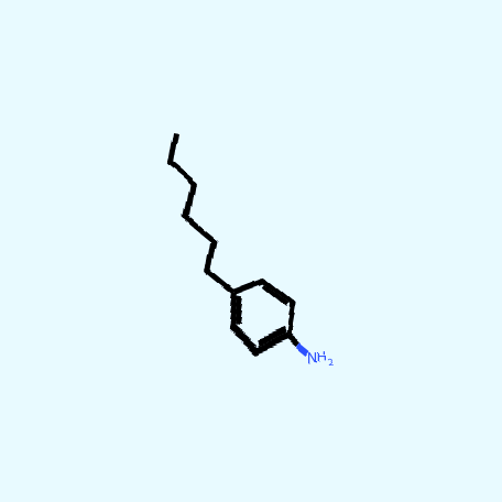 CCCCCCc1ccc(N)cc1